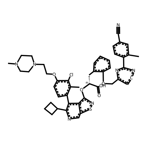 Cc1cc(C#N)ccc1-c1nccc(COc2ccccc2C[C@@H](Oc2nsc3cnc(C4CCC4)c(-c4ccc(OCCN5CCN(C)CC5)c(Cl)c4C)c23)C(=O)O)n1